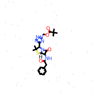 CC(C)(C)C(=O)OCn1nnc(C2N3C(=O)C(NC(=O)Cc4ccccc4)[C@H]3SC2(C)C)n1